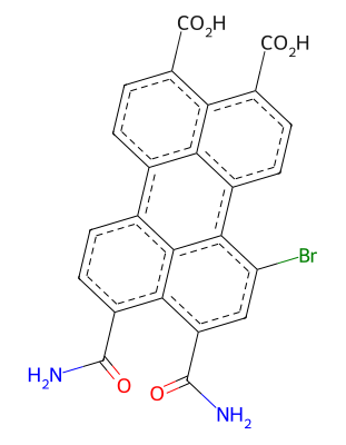 NC(=O)c1ccc2c3ccc(C(=O)O)c4c(C(=O)O)ccc(c5c(Br)cc(C(N)=O)c1c25)c43